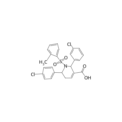 Cc1ccccc1S(=O)(=O)N1C(c2ccc(Cl)cc2)CC=C(C(=O)O)C1c1cccc(Cl)c1